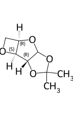 CC1(C)OC2O[C@@H]3CO[C@@H]3[C@H]2O1